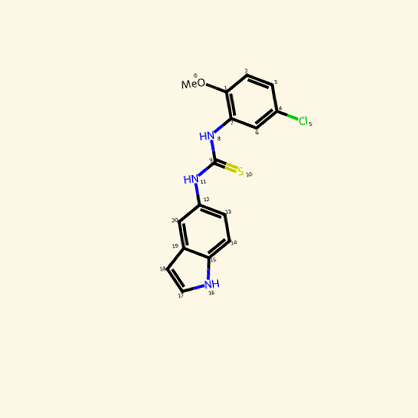 COc1ccc(Cl)cc1NC(=S)Nc1ccc2[nH]ccc2c1